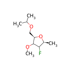 COC1C(F)[C@H](C)O[C@@H]1COC(C)C